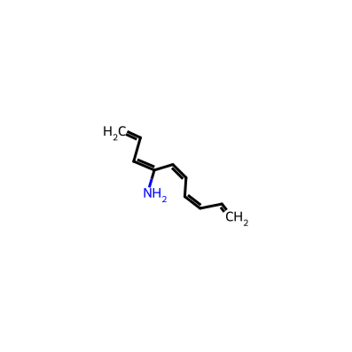 C=C\C=C/C=C\C(N)=C/C=C